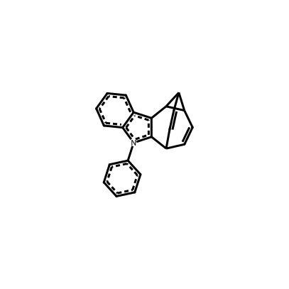 C1=CC2C3C=CC1c1c(c4ccccc4n1-c1ccccc1)C23